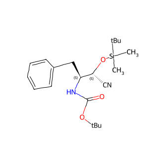 CC(C)(C)OC(=O)N[C@@H](Cc1ccccc1)[C@@H](C#N)O[Si](C)(C)C(C)(C)C